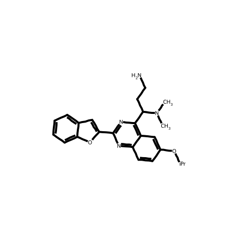 CC(C)Oc1ccc2nc(-c3cc4ccccc4o3)nc(C(CCN)N(C)C)c2c1